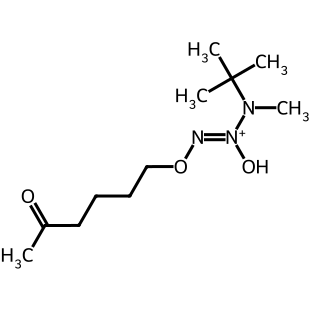 CC(=O)CCCCO/N=[N+](\O)N(C)C(C)(C)C